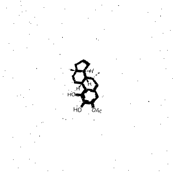 CC(=O)Oc1cc2c(c(O)c1O)[C@H]1CC[C@]3(C)CCC[C@H]3[C@@H]1[C@H](C)C2